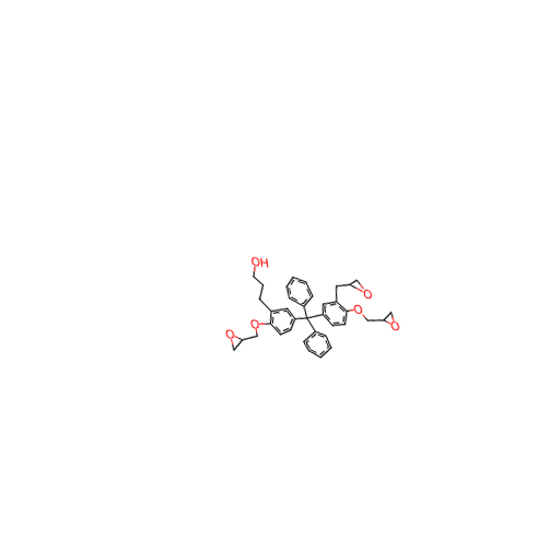 OCCCc1cc(C(c2ccccc2)(c2ccccc2)c2ccc(OCC3CO3)c(CC3CO3)c2)ccc1OCC1CO1